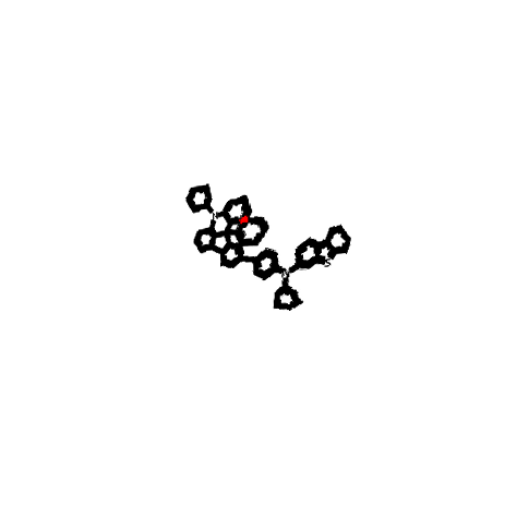 c1ccc(N(c2ccc(-c3ccc4c(c3)C3(c5ccccc5)c5ccccc5N(c5ccccc5)c5cccc-4c53)cc2)c2ccc3c(c2)sc2ccccc23)cc1